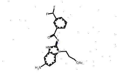 CC(=O)OCCCn1/c(=N/C(=O)c2cccc(C(F)F)c2)[nH]c2cc(N)ccc21